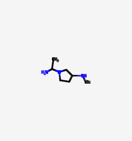 CC(N)N1CCC(NC(C)(C)C)C1